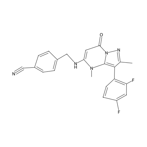 Cc1nn2c(=O)cc(NCc3ccc(C#N)cc3)n(C)c2c1-c1ccc(F)cc1F